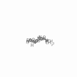 CCN(CC)CCC(=O)N1CCc2c(ncnc2Oc2ccc3c(ccn3C(=O)Nc3cccc(C(F)(F)F)c3)c2)C1